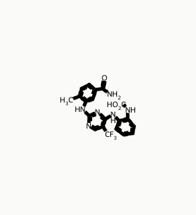 Cc1ccc(C(N)=O)cc1Nc1ncc(C(F)(F)F)c(Nc2ccccc2NC(=O)O)n1